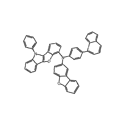 c1ccc(-n2c3ccccc3c3oc4c(N(c5ccc(-c6cccc7ccccc67)cc5)c5ccc6oc7ccccc7c6c5)cccc4c32)cc1